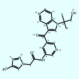 CC(C)c1cn(CC(=O)Nc2cncc(C(=O)c3cn(C(C)(C)CO)c4ccncc34)c2)nn1